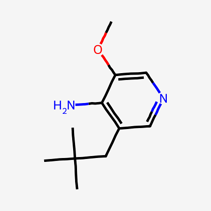 COc1cncc(CC(C)(C)C)c1N